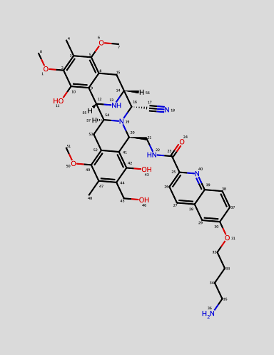 COc1c(C)c(OC)c2c(c1O)[C@@H]1N[C@H](C2)[C@H](C#N)N2[C@@H](CNC(=O)c3ccc4cc(OCCCCN)ccc4n3)c3c(O)c(CO)c(C)c(OC)c3C[C@@H]12